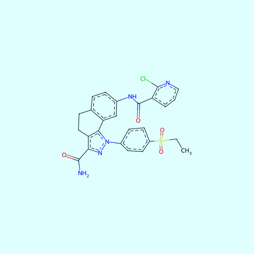 CCS(=O)(=O)c1ccc(-n2nc(C(N)=O)c3c2-c2cc(NC(=O)c4cccnc4Cl)ccc2CC3)cc1